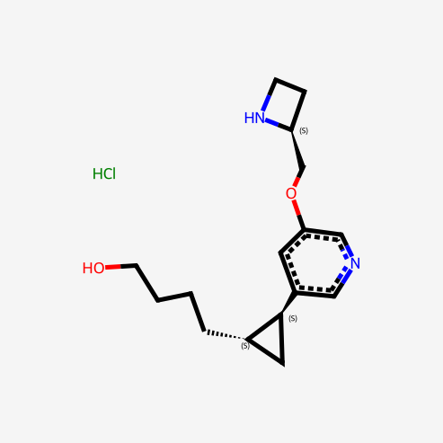 Cl.OCCCC[C@H]1C[C@@H]1c1cncc(OC[C@@H]2CCN2)c1